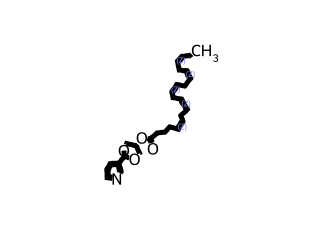 CC/C=C\C/C=C\C/C=C\C/C=C\C/C=C\CCCC(=O)OC1COC(c2cccnc2)OC1